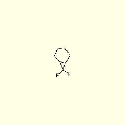 FC1(F)C2CCCCC21